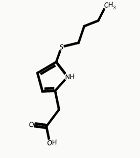 CCCCSc1ccc(CC(=O)O)[nH]1